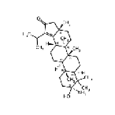 CC(C)C1=C2[C@H]3CC[C@@H]4[C@@]5(C)CC[C@](N)(O)C(C)(C)[C@@H]5CC[C@@]4(C)[C@]3(C)CC[C@@]2(C)CC1=O